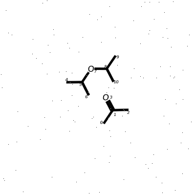 CC(C)=O.CC(C)OC(C)C